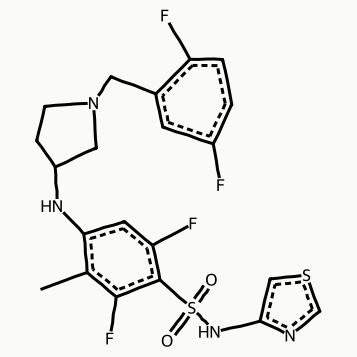 Cc1c(NC2CCN(Cc3cc(F)ccc3F)C2)cc(F)c(S(=O)(=O)Nc2cscn2)c1F